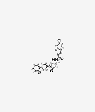 O=C(C=Cc1ccc(Cl)cc1)NCC1CC(=O)N(c2ccc(N3CCCCC3=O)cc2)C1